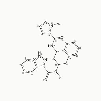 CN(C(=O)c1n[nH]c2ccccc12)C(CCNC(=O)c1cccn1C)Cc1ccccc1